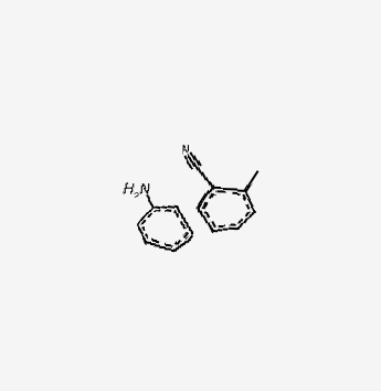 Cc1ccccc1C#N.Nc1ccccc1